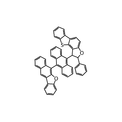 c1ccc(C2Oc3ccc4c(sc5ccccc54)c3C2c2c3ccccc3c(-c3c4ccccc4cc4c3oc3ccccc34)c3ccccc23)cc1